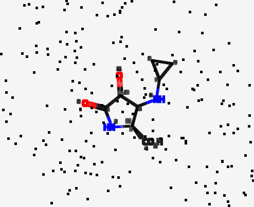 O=C1N[C@H](C(=O)O)C(NC2CC2)C1=O